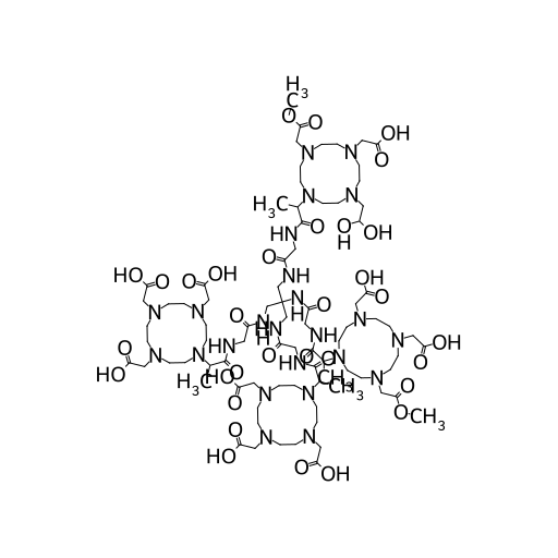 COC(=O)CN1CCN(CC(=O)O)CCN(CC(O)O)CCN(C(C)C(=O)NCC(=O)NCC(CNC(=O)CNC(=O)C(C)N2CCN(CC(=O)O)CCN(CC(=O)O)CCN(CC(=O)O)CC2)(CNC(=O)CNC(=O)C(C)N2CCN(CC(=O)O)CCN(CC(=O)O)CCN(CC(=O)O)CC2)NC(=O)CNC(=O)C(C)N2CCN(CC(=O)O)CCN(CC(=O)O)CCN(CC(=O)OC)CC2)CC1